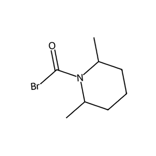 CC1CCCC(C)N1C(=O)Br